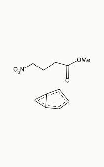 COC(=O)CCC[N+](=O)[O-].c1cc2cc-2c1